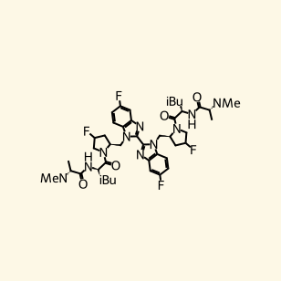 CCC(C)[C@@H](NC(=O)[C@@H](C)NC)C(=O)N1CC(F)C[C@H]1Cn1c(-c2nc3cc(F)ccc3n2C[C@@H]2CC(F)CN2C(=O)[C@H](NC(=O)[C@@H](C)NC)[C@H](C)CC)nc2cc(F)ccc21